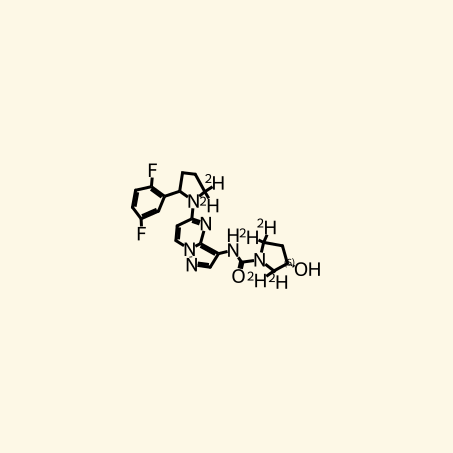 [2H]C1([2H])CCC(c2cc(F)ccc2F)N1c1ccn2ncc(NC(=O)N3C([2H])([2H])C[C@H](O)C3([2H])[2H])c2n1